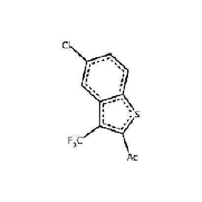 CC(=O)c1sc2ccc(Cl)cc2c1C(F)(F)F